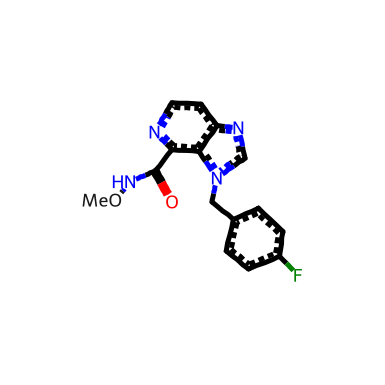 CONC(=O)c1nccc2ncn(Cc3ccc(F)cc3)c12